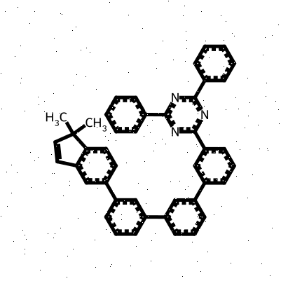 CC1(C)C=Cc2cc(-c3cccc(-c4cccc(-c5cccc(-c6nc(-c7ccccc7)nc(-c7ccccc7)n6)c5)c4)c3)ccc21